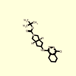 CC(C)(C)OC(=O)N1C[C@H]2CC(Nc3nnc(Cl)c4c3CCCC4)C[C@H]2C1